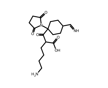 N=CC1CCC(C(=O)C(CCCCN)C(=O)O)(N2C(=O)CCC2=O)CC1